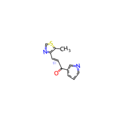 Cc1scnc1/C=C/C(=O)c1cccnc1